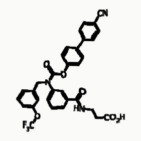 N#Cc1ccc(-c2ccc(OC(=O)N(Cc3cccc(OC(F)(F)F)c3)c3cccc(C(=O)NCCC(=O)O)c3)cc2)cc1